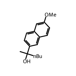 CCCCC(C)(O)c1ccc2cc(OC)ccc2c1